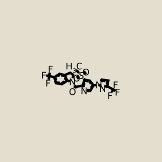 CCS(=O)(=O)c1cc(-n2ccc(C(F)(F)F)n2)cnc1C(=O)N1CCc2cc(C(F)(F)F)ccc21